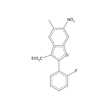 CCOC(=O)c1c(-c2ccccc2F)oc2cc([N+](=O)[O-])c(C)cc12